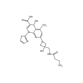 CCCC(=O)NCC1(O)CN(c2cc(C)c3c(n2)N(c2nccs2)C=C(C(=O)O)C3O)C1